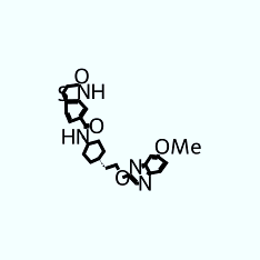 COc1ccc2ncc(OCC[C@H]3CC[C@H](NC(=O)c4ccc5c(c4)NC(=O)CS5)CC3)nc2c1